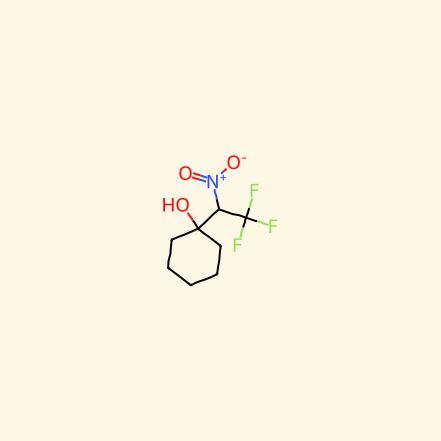 O=[N+]([O-])C(C(F)(F)F)C1(O)CCCCC1